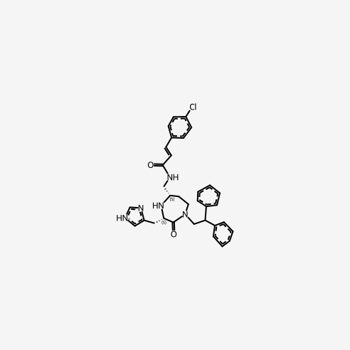 O=C(C=Cc1ccc(Cl)cc1)NC[C@@H]1CCN(CC(c2ccccc2)c2ccccc2)C(=O)[C@H](Cc2c[nH]cn2)N1